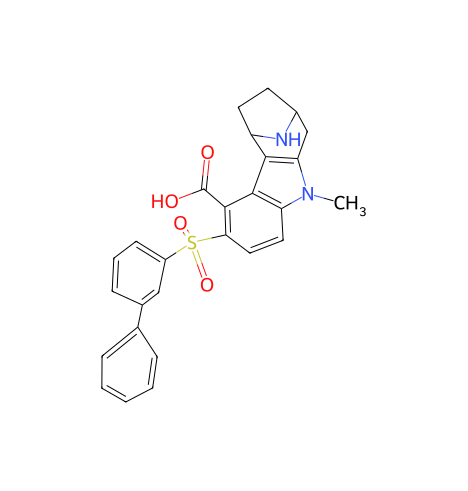 Cn1c2c(c3c(C(=O)O)c(S(=O)(=O)c4cccc(-c5ccccc5)c4)ccc31)C1CCC(C2)N1